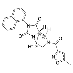 Cc1cc(C(=O)N2C[C@@H]3C[C@H]2[C@H]2C(=O)N(c4cccc5ccccc45)C(=O)N32)no1